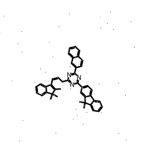 CC1=C(/C=C\Cc2nc(-c3ccc4c(c3)C(C)(C)c3ccccc3-4)nc(-c3ccc4ccccc4c3)n2)c2ccccc2C1(C)C